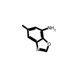 Cc1cc(N)c2ocnc2c1